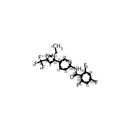 CCn1nc(C(F)(F)F)cc1-c1ccc(NC(=O)c2c(F)cc(F)cc2F)nc1